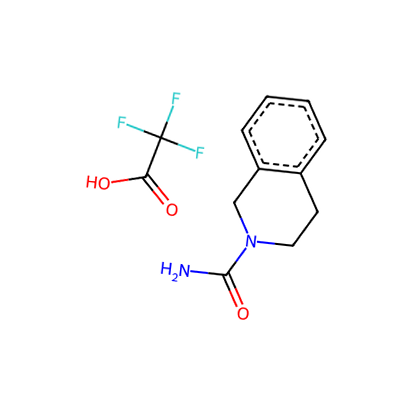 NC(=O)N1CCc2ccccc2C1.O=C(O)C(F)(F)F